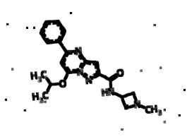 CC(C)Oc1cc(-c2ccccc2)nc2cc(C(=O)NC3CN(C)C3)nn12